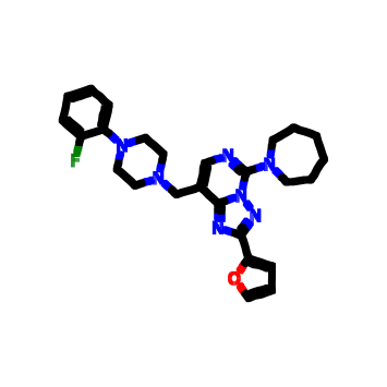 Fc1ccccc1N1CCN(Cc2cnc(N3CCCCCC3)n3nc(-c4ccco4)nc23)CC1